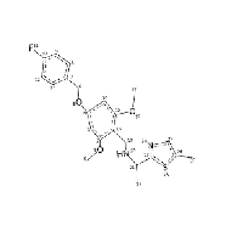 COc1cc(OCc2ccc(F)cc2)cc(OC)c1CNC(C)c1ncc(C)s1